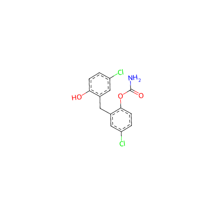 NC(=O)Oc1ccc(Cl)cc1Cc1cc(Cl)ccc1O